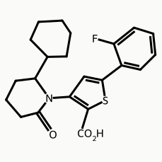 O=C(O)c1sc(-c2ccccc2F)cc1N1C(=O)CCCC1C1CCCCC1